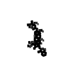 CC(C)C1=C2[C@H]3CC[C@@H]4[C@@]5(C)CC[C@H](OC(=O)CC(C)(C)C(=O)O)C6(C)C[C@]65CC[C@@]4(C)[C@]3(C)CC[C@@]2(CCNC(=O)c2ccccc2Cl)CC1=O